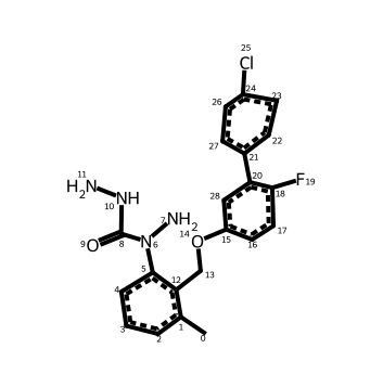 Cc1cccc(N(N)C(=O)NN)c1COc1ccc(F)c(-c2ccc(Cl)cc2)c1